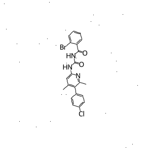 Cc1cc(NC(=O)NC(=O)c2ccccc2Br)nc(C)c1-c1ccc(Cl)cc1